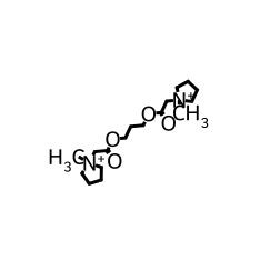 C[N+]1(CC(=O)OCCCOC(=O)C[N+]2(C)CCCC2)CCCC1